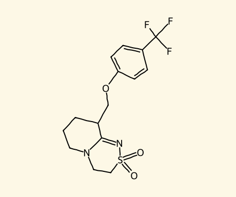 O=S1(=O)CCN2CCCC(COc3ccc(C(F)(F)F)cc3)C2=N1